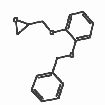 c1ccc(COc2ccccc2OCC2CO2)cc1